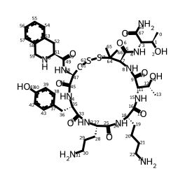 C[C@@H](O)[C@H](NC(=O)[C@H]1NC(=O)[C@H]([C@@H](C)O)NC(=O)[C@H](CCCCN)NC(=O)[C@H](CCCN)NC(=O)[C@H](Cc2ccc(O)cc2)NC(=O)[C@@H](NC(=O)[C@@H]2Cc3ccccc3CN2)CSSC1(C)C)C(N)=O